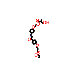 C=CC(=O)OCCCOc1ccc(C(=O)/C=C/c2ccc(OCCOC(=O)C(=C)CO)cc2)cc1